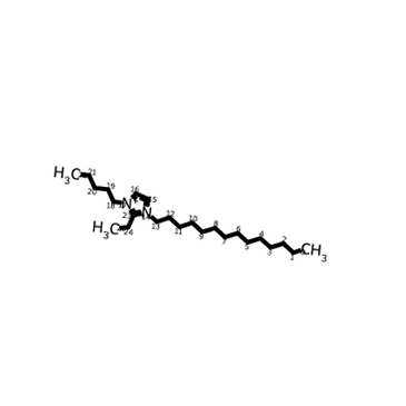 CCCCCCCCCCCCCCn1cc[n+](CCCCC)c1CC